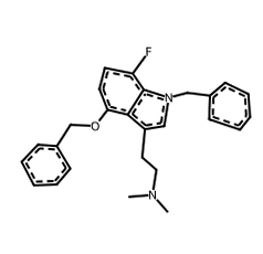 CN(C)CCc1cn(Cc2ccccc2)c2c(F)ccc(OCc3ccccc3)c12